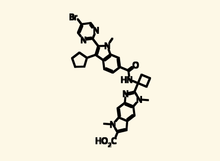 Cn1c(C(=O)O)cc2cc3c(cc21)nc(C1(NC(=O)c2ccc4c(C5CCCC5)c(-c5ncc(Br)cn5)n(C)c4c2)CCC1)n3C